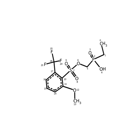 CCP(=O)(O)COS(=O)(=O)c1c(OC)cccc1C(F)(F)F